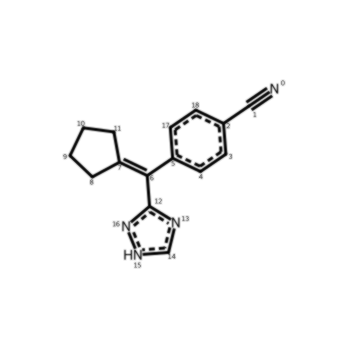 N#Cc1ccc(C(=C2CCCC2)c2nc[nH]n2)cc1